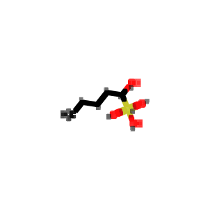 CCCCC(O)S(=O)(=O)O